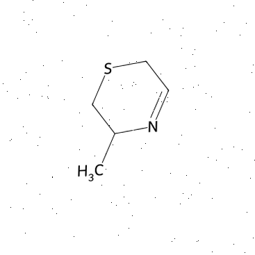 CC1CSCC=N1